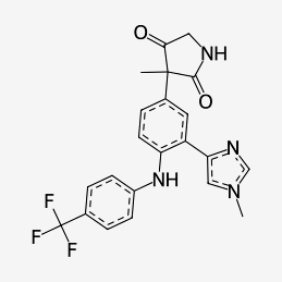 Cn1cnc(-c2cc(C3(C)C(=O)CNC3=O)ccc2Nc2ccc(C(F)(F)F)cc2)c1